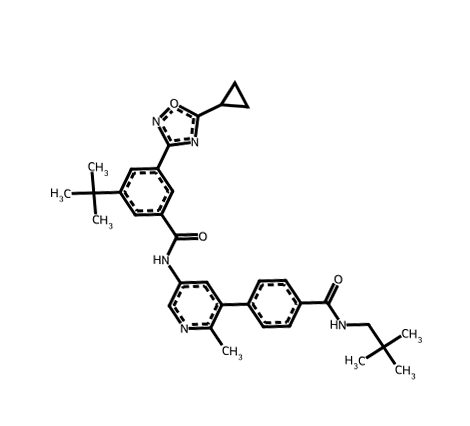 Cc1ncc(NC(=O)c2cc(-c3noc(C4CC4)n3)cc(C(C)(C)C)c2)cc1-c1ccc(C(=O)NCC(C)(C)C)cc1